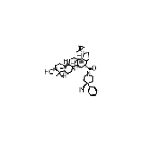 CC1([C@@H]2CCC3[C@H]2[C@H]2CC[C@@H]4[C@@]5(C)CC[C@H](O)C(C)(C)[C@@H]5CC[C@@]4(C)[C@]2(C)C[C@@H]3C(=O)N2CCC(C#N)(c3ccccc3)CC2)CC1